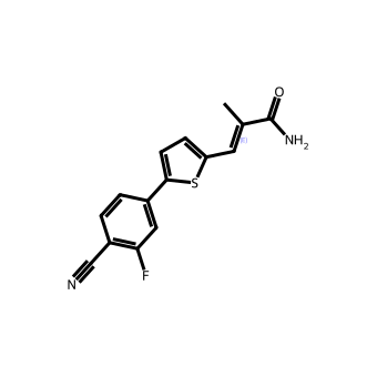 C/C(=C\c1ccc(-c2ccc(C#N)c(F)c2)s1)C(N)=O